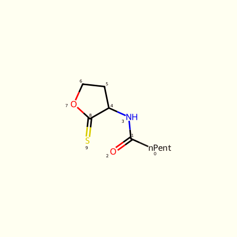 CCCCCC(=O)NC1CCOC1=S